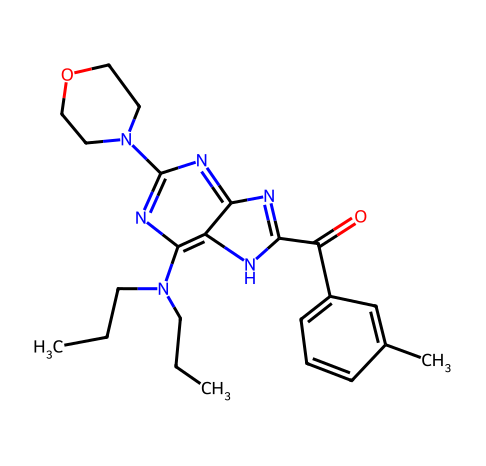 CCCN(CCC)c1nc(N2CCOCC2)nc2nc(C(=O)c3cccc(C)c3)[nH]c12